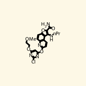 CCCNc1c(C(N)=O)oc2ccc3nc(Oc4cc(OCCOC)nc(Cl)n4)ccc3c12